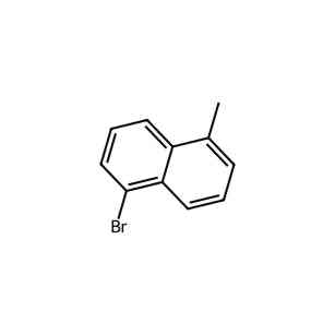 Cc1cccc2c(Br)cccc12